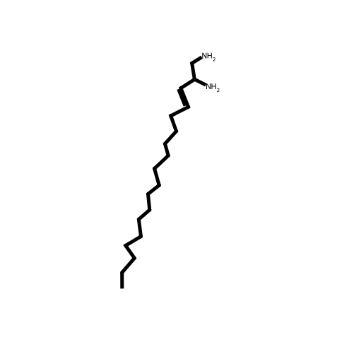 CCCCCCCCCCCCCCC=CC(N)CN